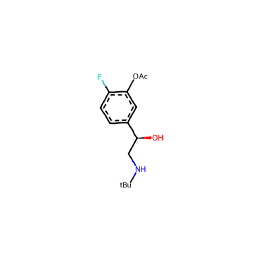 CC(=O)Oc1cc([C@@H](O)CNC(C)(C)C)ccc1F